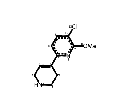 COc1nc(C2=CCNCC2)ccc1Cl